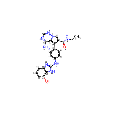 CCNC(=O)c1cn2ncnc(N)c2c1-c1ccc(Nc2nc3cccc(O)c3[nH]2)cc1